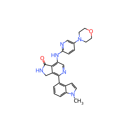 Cn1ccc2c(-c3ncc(Nc4ccc(N5CCOCC5)cn4)c4c3CNC4=O)cccc21